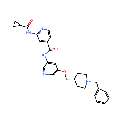 O=C(Nc1cncc(OCC2CCN(Cc3ccccc3)CC2)c1)c1ccnc(NC(=O)C2CC2)c1